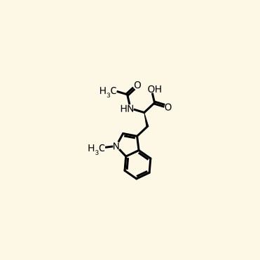 CC(=O)N[C@H](Cc1cn(C)c2ccccc12)C(=O)O